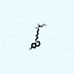 CC(C)(C)OC(=O)NCCCCCCN1CCCc2cc(Cl)ccc21